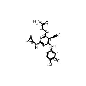 N#Cc1c(Nc2ccc(Cl)c(Cl)c2)nc(NC2CC2)nc1SCC(N)=O